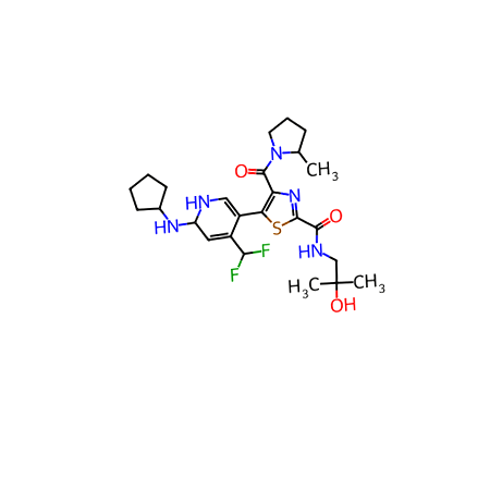 CC1CCCN1C(=O)c1nc(C(=O)NCC(C)(C)O)sc1C1=CNC(NC2CCCC2)C=C1C(F)F